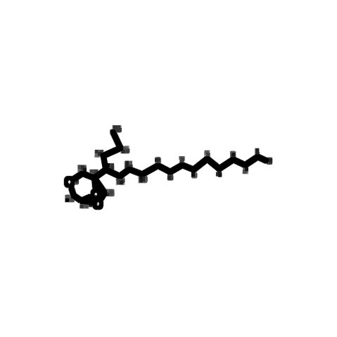 CCCCCCCCCCCCCC(CCC)C12COCC(OC1)O2